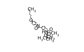 CCCCCCCOc1ccc(-c2nc(-c3ccc(C[C@H](NC(=O)OC(C)(C)C)C(=O)CC)cc3)co2)cc1